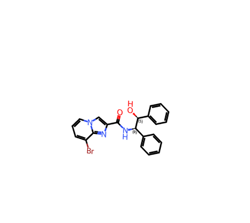 O=C(N[C@H](c1ccccc1)[C@@H](O)c1ccccc1)c1cn2cccc(Br)c2n1